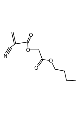 C=C(C#N)C(=O)OCC(=O)OCCCC